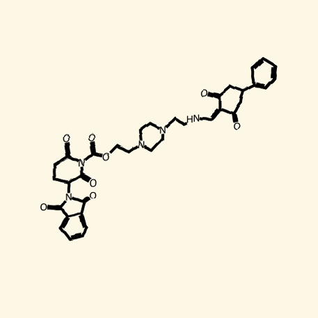 O=C1CC(c2ccccc2)CC(=O)C1=CNCCN1CCN(CCOC(=O)N2C(=O)CCC(N3C(=O)c4ccccc4C3=O)C2=O)CC1